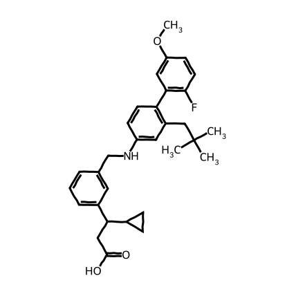 COc1ccc(F)c(-c2ccc(NCc3cccc(C(CC(=O)O)C4CC4)c3)cc2CC(C)(C)C)c1